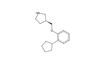 c1ccc(C2CCCC2)c(OC[C@H]2CCNC2)c1